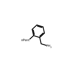 CCCCCc1ccccc1CP